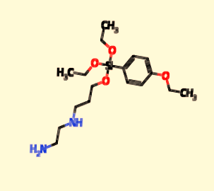 CCOc1ccc([Si](OCC)(OCC)OCCCNCCN)cc1